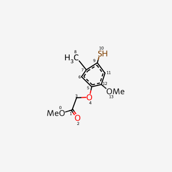 COC(=O)COc1cc(C)c(S)cc1OC